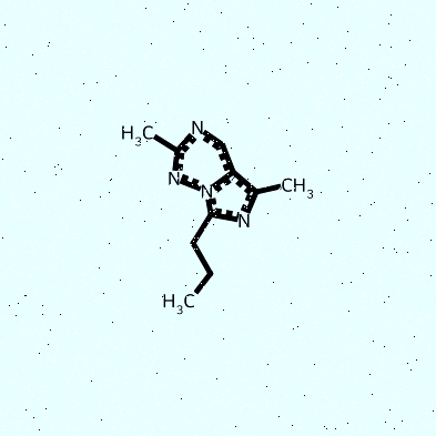 CCCc1nc(C)c2cnc(C)nn12